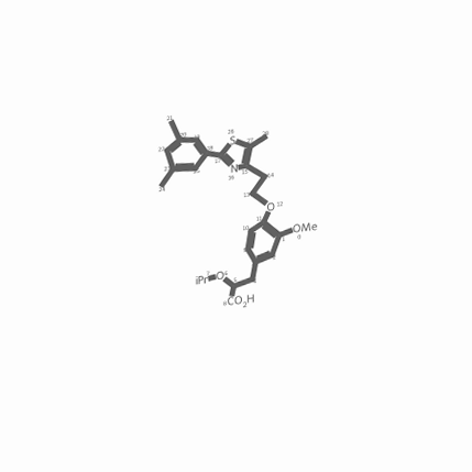 COc1cc(CC(OC(C)C)C(=O)O)ccc1OCCc1nc(-c2cc(C)cc(C)c2)sc1C